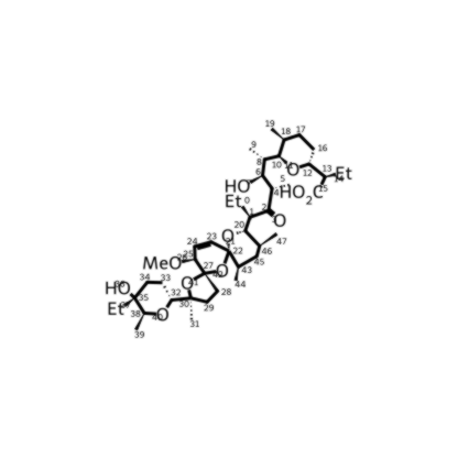 CC[C@@H](C(=O)[C@@H](C)[C@@H](O)[C@H](C)[C@@H]1O[C@@H]([C@@H](CC)C(=O)O)CC[C@@H]1C)[C@H]1O[C@]2(C=C[C@H](OC)[C@]3(CC[C@@](C)([C@H]4CC[C@](O)(CC)[C@H](C)O4)O3)O2)[C@H](C)C[C@@H]1C